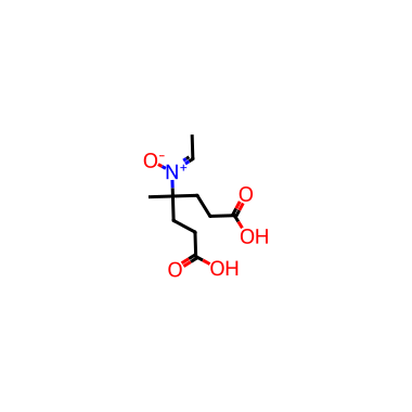 C/C=[N+](\[O-])C(C)(CCC(=O)O)CCC(=O)O